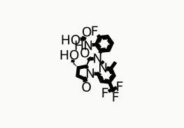 Cc1cc(C(F)(F)F)cc(N2C(=O)C[C@H](CO)[C@H]2C(=O)N(C)c2cccc(F)c2NC(=O)O)n1